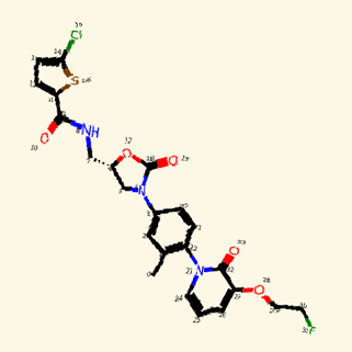 Cc1cc(N2C[C@H](CNC(=O)c3ccc(Cl)s3)OC2=O)ccc1-n1cccc(OCCF)c1=O